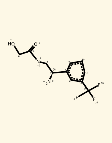 N[C@@H](CNC(=O)CO)c1cccc(C(F)(F)F)c1